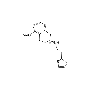 COc1cccc2c1CC[C@H](NCCC1CC=CS1)C2